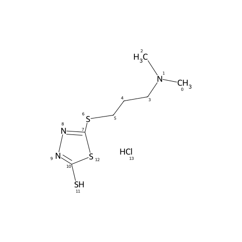 CN(C)CCCSc1nnc(S)s1.Cl